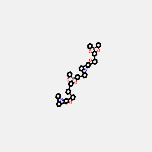 c1cc(-c2cc3c4c(c2)Oc2cc(-c5cccc6c5c5cccc7c8cc9oc%10c(-c%11cc%12c%13c(c%11)Oc%11ccccc%11B%13c%11ccccc%11O%12)cccc%10c9cc8n6c75)ccc2B4c2ccccc2O3)cc(-c2cccc3oc4cc5c6cccc7c8ccccc8n(c5cc4c23)c76)c1